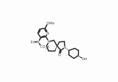 CCN(C(=O)O)c1ccc(OC)nc1N1CCC[C@]2(CCN([C@H]3CC[C@H](O)CC3)C2=O)C1